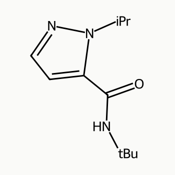 CC(C)n1nccc1C(=O)NC(C)(C)C